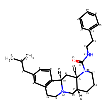 CC(C)Cc1ccc2c(c1)CCN1C[C@H]3CCCN(C(=O)NCCc4ccccc4)[C@H]3C[C@@H]21